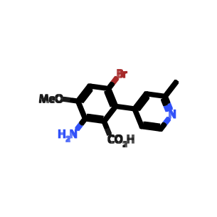 COc1cc(Br)c(-c2ccnc(C)c2)c(C(=O)O)c1N